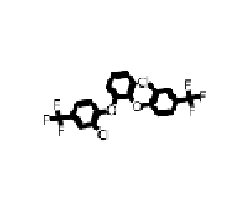 FC(F)(F)c1ccc(Oc2ccccc2Oc2ccc(C(F)(F)F)cc2Cl)c(Cl)c1